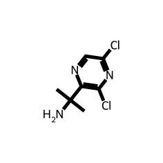 CC(C)(N)c1ncc(Cl)nc1Cl